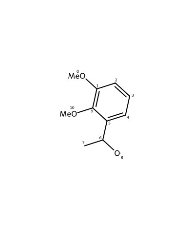 COc1cccc(C(C)[O])c1OC